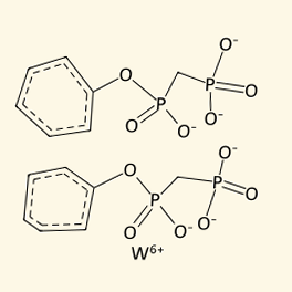 O=P([O-])([O-])CP(=O)([O-])Oc1ccccc1.O=P([O-])([O-])CP(=O)([O-])Oc1ccccc1.[W+6]